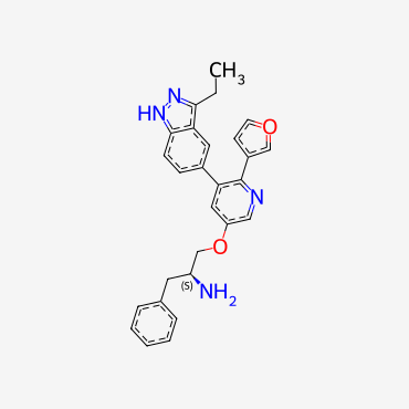 CCc1n[nH]c2ccc(-c3cc(OC[C@@H](N)Cc4ccccc4)cnc3-c3ccoc3)cc12